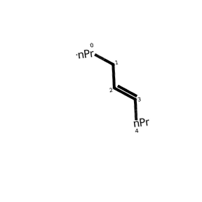 CC[CH]CC=CCCC